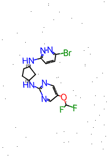 FC(F)Oc1cnc(N[C@H]2CC[C@H](Nc3ccc(Br)nn3)C2)nc1